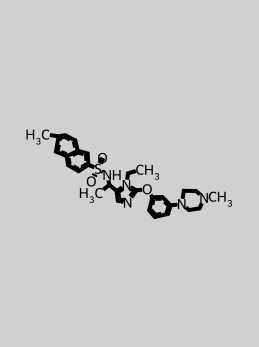 CCn1c(C(C)NS(=O)(=O)c2ccc3cc(C)ccc3c2)cnc1Oc1cccc(N2CCN(C)CC2)c1